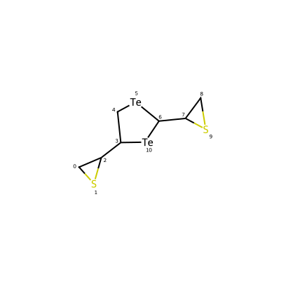 C1SC1C1C[Te]C(C2CS2)[Te]1